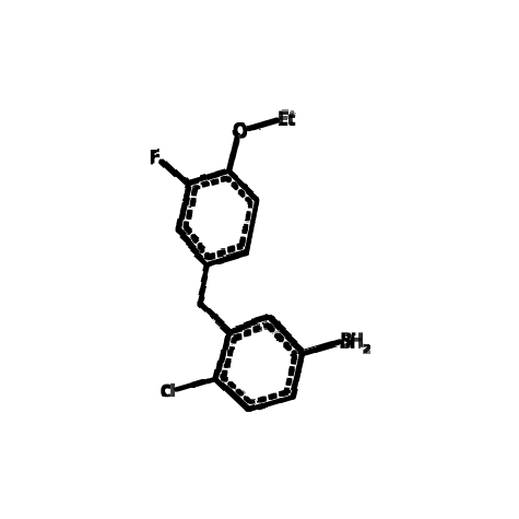 Bc1ccc(Cl)c(Cc2ccc(OCC)c(F)c2)c1